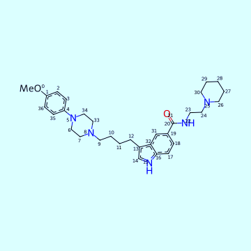 COc1ccc(N2CCN(CCCCc3c[nH]c4ccc(C(=O)NCCN5CCCCC5)cc34)CC2)cc1